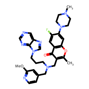 COc1cc(CN(CCCn2cnc3cncnc32)Cc2c(C)oc3cc(N4CCN(C)CC4)c(F)cc3c2=O)ccn1